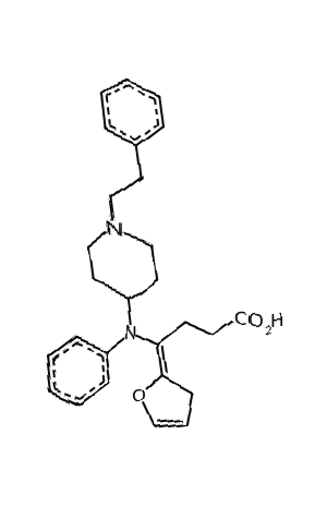 O=C(O)CCC(=C1CC=CO1)N(c1ccccc1)C1CCN(CCc2ccccc2)CC1